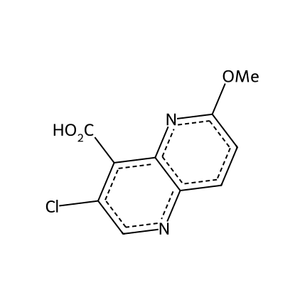 COc1ccc2ncc(Cl)c(C(=O)O)c2n1